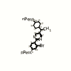 CCCCCc1ccc(-c2ncc(C(C)C3CCC(CCCCC)CC3)cn2)c(Br)c1